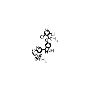 C[C@@H](Oc1ccc2[nH]nc(-c3cnc4c(c3)N(S(C)(=O)=O)CCO4)c2c1)c1c(Cl)cncc1Cl